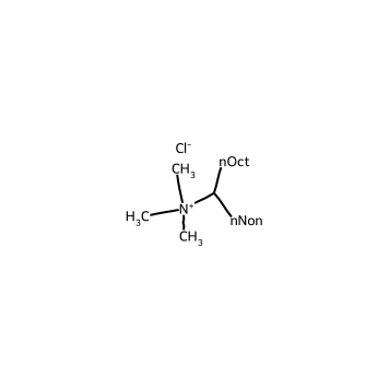 CCCCCCCCCC(CCCCCCCC)[N+](C)(C)C.[Cl-]